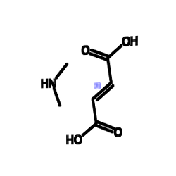 CNC.O=C(O)/C=C/C(=O)O